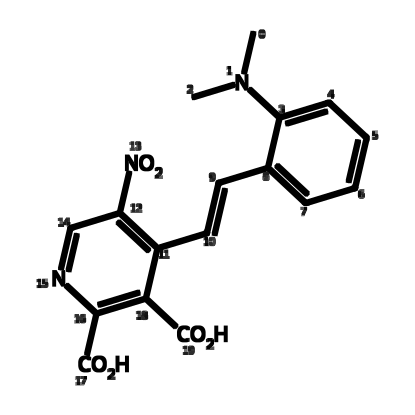 CN(C)c1ccccc1C=Cc1c([N+](=O)[O-])cnc(C(=O)O)c1C(=O)O